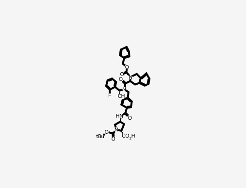 C[C@H](c1ccccc1F)N(Cc1ccc(C(=O)N[C@H]2C[C@@H](C(=O)O)N(C(=O)OC(C)(C)C)C2)cc1)C(=O)C1Cc2ccccc2CN1C(=O)OCc1ccccc1